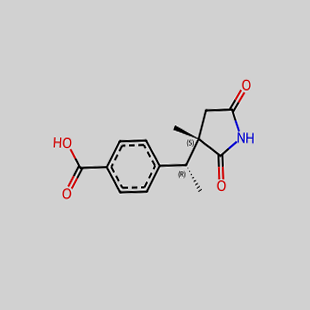 C[C@H](c1ccc(C(=O)O)cc1)[C@]1(C)CC(=O)NC1=O